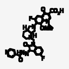 COc1c(N2C[C@@H]3CCCN(CN4C(=O)/C(=N\NC(=O)c5ccncc5)c5cc(F)ccc54)[C@@H]3C2)c(F)cc2c(=O)c(C(=O)O)cn(C3CC3)c12